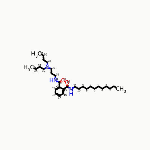 CCCCCCCCCCCCNC(=O)c1ccccc1C(=O)NCCCN(CCCC)CCCC